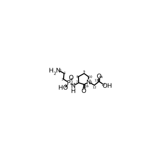 NCCP(=O)(O)NC1CCCN(CC(=O)O)C1=O